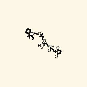 C/C=C1/N(CCOC(C)(C)CCOC(C)(P)CCNC(=O)CCN2C(=O)C=CC2=O)c2ccccc2C1(C)C